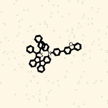 c1ccc(-c2ccc(N(c3ccc(-c4ccc5c(c4)oc4ccccc45)cc3)c3ccc4c(c3)C3(c5ccccc5-4)c4ccccc4-c4c3sc(-c3ccccc3)c4-c3ccccc3)cc2)cc1